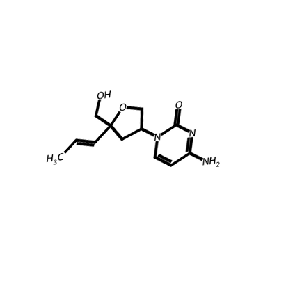 C/C=C/C1(CO)CC(n2ccc(N)nc2=O)CO1